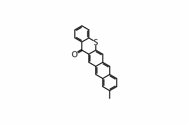 Cc1ccc2cc3cc4sc5ccccc5c(=O)c4cc3cc2c1